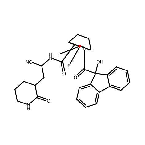 N#CC(CC1CCCNC1=O)NC(=O)C1C2CCC(CC2(F)F)N1C(=O)C1(O)c2ccccc2-c2ccccc21